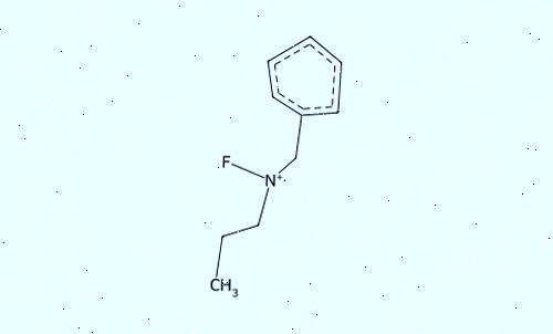 CCC[N+](F)Cc1ccccc1